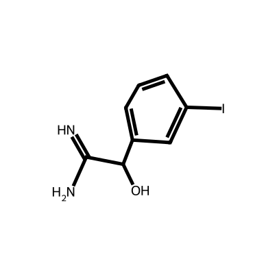 N=C(N)C(O)c1cccc(I)c1